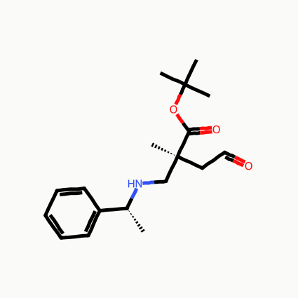 C[C@@H](NC[C@](C)(CC=O)C(=O)OC(C)(C)C)c1ccccc1